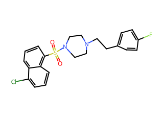 O=S(=O)(c1cccc2c(Cl)cccc12)N1CCN(CCc2ccc(F)cc2)CC1